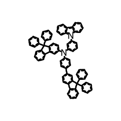 c1ccc(C2(c3ccccc3)c3ccccc3-c3cc(N(c4ccc(-c5ccc6c(c5)C(c5ccccc5)(c5ccccc5)c5ccccc5-6)cc4)c4cccc(-n5c6ccccc6c6ccccc65)c4)ccc32)cc1